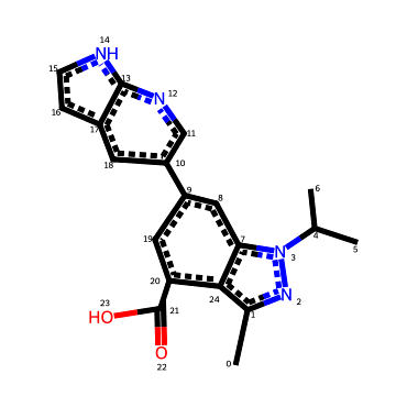 Cc1nn(C(C)C)c2cc(-c3cnc4[nH]ccc4c3)cc(C(=O)O)c12